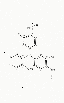 CCNc1ccc(C(c2ccc(NCC)c(C)c2)c2ccccc2OC)cc1C